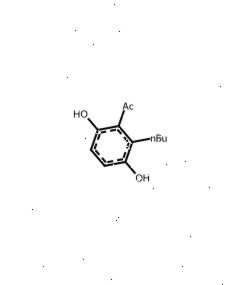 CCCCc1c(O)ccc(O)c1C(C)=O